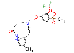 Cc1ccc2c(c1)CCCN(CCOc1ccc(S(C)(=O)=O)c(OC(F)F)c1)CCCC(=O)N2